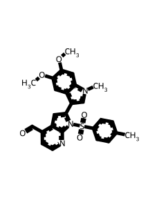 COc1cc2c(-c3cc4c(C=O)ccnc4n3S(=O)(=O)c3ccc(C)cc3)cn(C)c2cc1OC